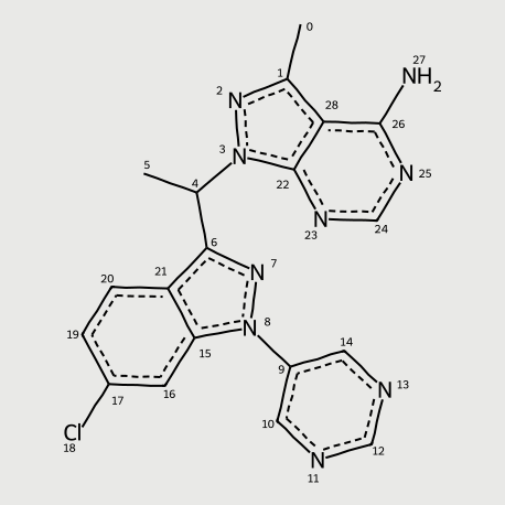 Cc1nn(C(C)c2nn(-c3cncnc3)c3cc(Cl)ccc23)c2ncnc(N)c12